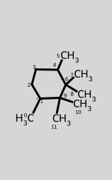 C[C]1CCC(C)C(C)(C)C1(C)C